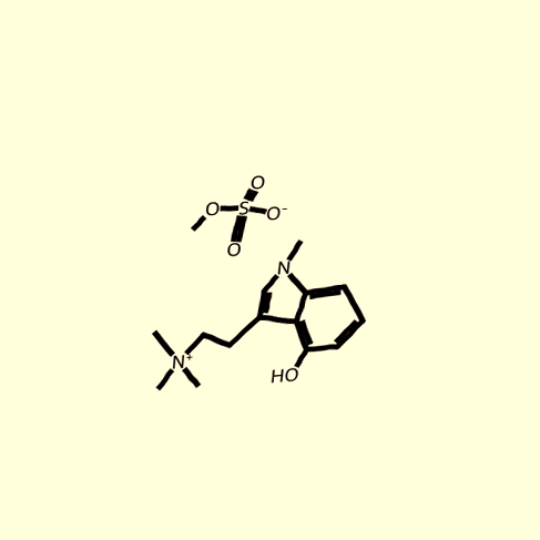 COS(=O)(=O)[O-].Cn1cc(CC[N+](C)(C)C)c2c(O)cccc21